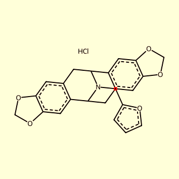 Cl.c1coc(CN2C3Cc4cc5c(cc4C2Cc2cc4c(cc23)OCO4)OCO5)c1